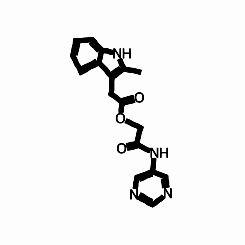 Cc1[nH]c2ccccc2c1CC(=O)OCC(=O)Nc1cncnc1